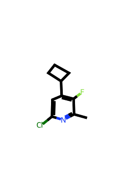 Cc1nc(Cl)cc(C2CCC2)c1F